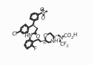 CS(=O)(=O)c1cccc([C@@H](CC(=O)Nc2cccc(F)c2CC[C@@H]2CN[C@@H](CN(CC(F)(F)F)C(=O)O)CO2)c2ccc(Cl)cc2)c1